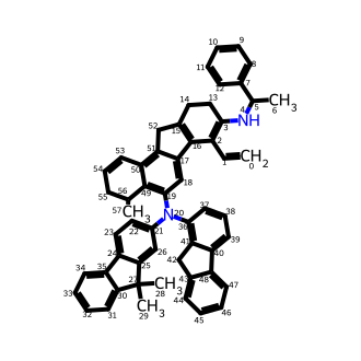 C=CC1=C(NC(C)c2ccccc2)CCC2=C1c1cc(N(c3ccc4c(c3)C(C)(C)c3ccccc3-4)c3cccc4c3Cc3ccccc3-4)c3c(c1C2)C=CCC3C